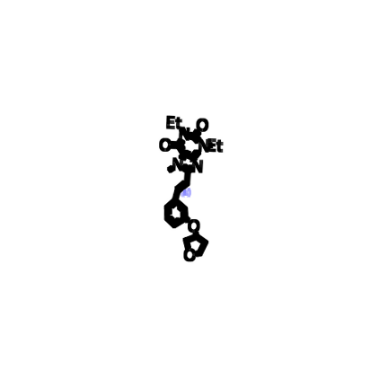 CCn1c(=O)c2c(nc(/C=C/c3cccc(OC4CCOC4)c3)n2C)n(CC)c1=O